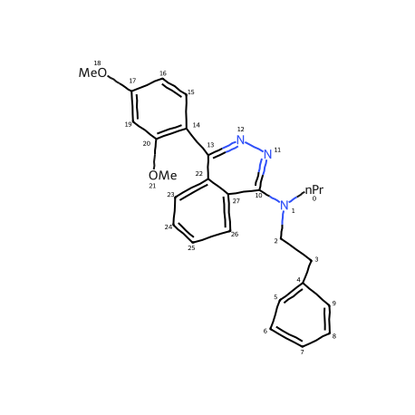 CCCN(CCc1ccccc1)c1nnc(-c2ccc(OC)cc2OC)c2ccccc12